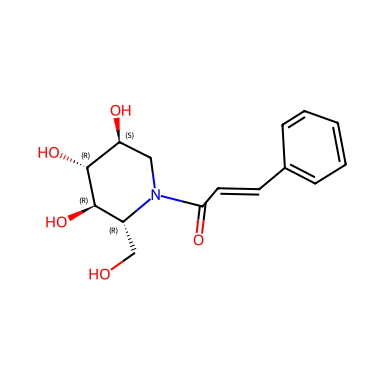 O=C(C=Cc1ccccc1)N1C[C@H](O)[C@@H](O)[C@H](O)[C@H]1CO